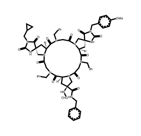 COc1ccc(CN2C(=O)N[C@]3(C[C@H]4C(=O)N(CC(C)C)CC(=O)N5C[C@](NC=O)(C(=O)NCc6ccccc6)C[C@H]5C(=O)N(CC(C)C)CC(=O)N5C[C@]6(C[C@H]5C(=O)N(CC(C)C)CC(=O)N4C3)NC(=O)N(CC3CC3)C6=O)C2=O)cc1